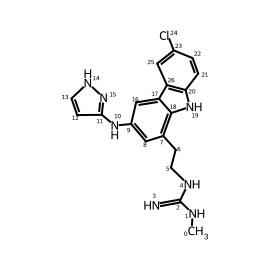 CNC(=N)NCCc1cc(Nc2cc[nH]n2)cc2c1[nH]c1ccc(Cl)cc12